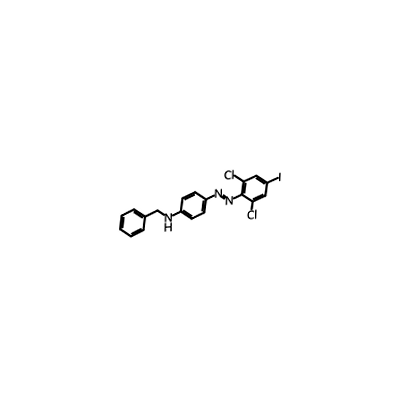 Clc1cc(I)cc(Cl)c1/N=N/c1ccc(NCc2ccccc2)cc1